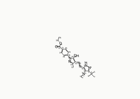 [C-]#[N+]c1c(C(C)(C)C)n[nH]c1/N=N/c1c(C)nn(-c2ccc(C(=O)OCC)cc2)c1O